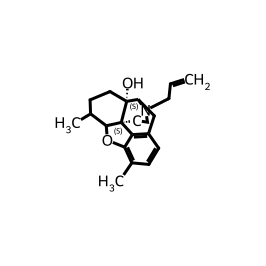 C=CCN1CC[C@]23c4c5ccc(C)c4OC2C(C)CC[C@@]3(O)C1C5